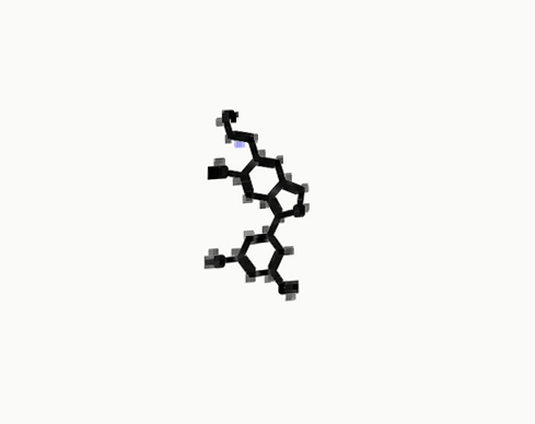 CC(C)/C=C/c1cc2coc(-c3cc(O)cc(O)c3)c2cc1O